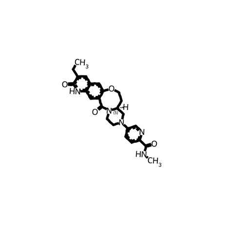 CCc1cc2cc3c(cc2[nH]c1=O)C(=O)N1CCN(c2ccc(C(=O)NC)nc2)C[C@@H]1CCO3